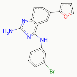 Nc1nc(Nc2cccc(Br)c2)c2cc(-c3ccco3)ccc2n1